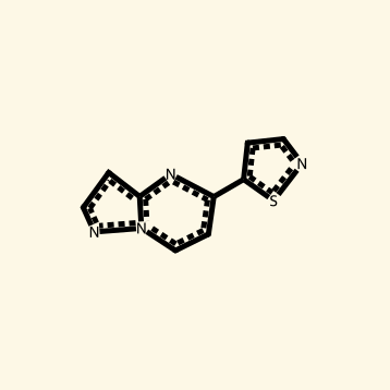 c1cc(-c2ccn3nccc3n2)sn1